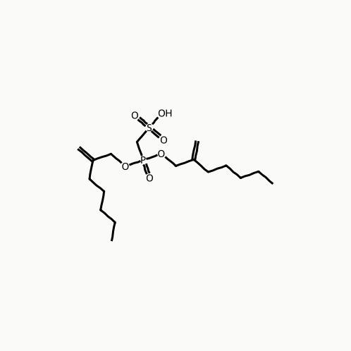 C=C(CCCCC)COP(=O)(CS(=O)(=O)O)OCC(=C)CCCCC